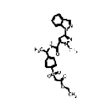 CCOC(=O)CS(=O)(=O)c1ccc(C(C)NC(=O)c2cc(-n3ncc4ccccc43)nn2C)cc1